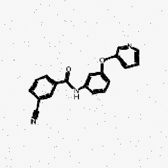 N#Cc1cccc(C(=O)Nc2cccc(Oc3cccnc3)c2)c1